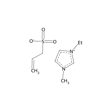 C=CCS(=O)(=O)[O-].CC[n+]1ccn(C)c1